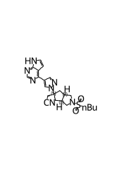 CCCCS(=O)(=O)N1C[C@@H]2C[C@@](CC#N)(n3cc(-c4ncnc5[nH]ccc45)cn3)C[C@@H]2C1